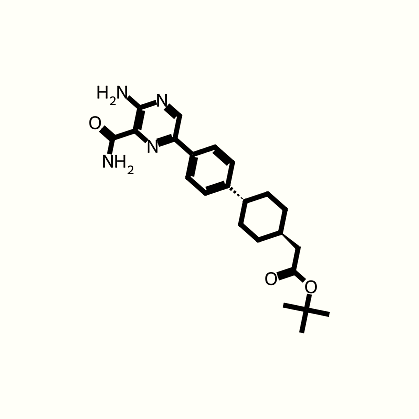 CC(C)(C)OC(=O)C[C@H]1CC[C@H](c2ccc(-c3cnc(N)c(C(N)=O)n3)cc2)CC1